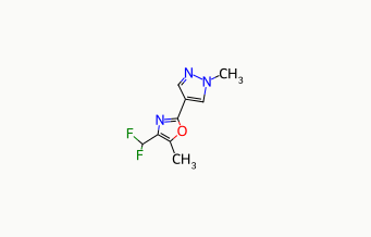 Cc1oc(-c2cnn(C)c2)nc1C(F)F